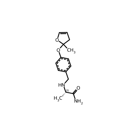 C[C@H](NCc1ccc(OC2(C)CC=CO2)cc1)C(N)=O